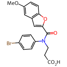 COc1ccc2oc(C(=O)N(CCC(=O)O)c3ccc(Br)cc3)cc2c1